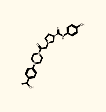 CC(O)c1ccc(N2CCN(C(=O)CN3CC[C@@H](C(=O)Nc4ccc(O)cc4)C3)CC2)cc1